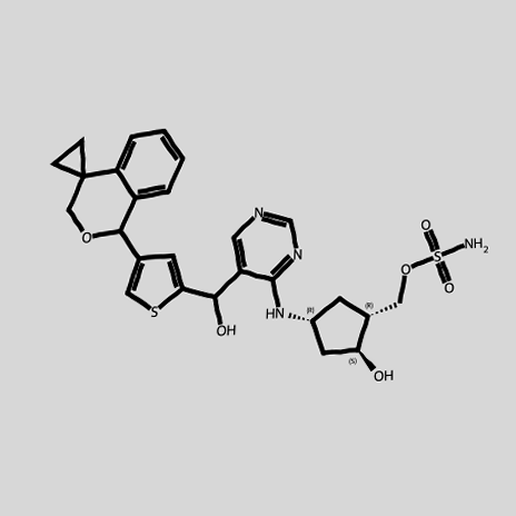 NS(=O)(=O)OC[C@H]1C[C@@H](Nc2ncncc2C(O)c2cc(C3OCC4(CC4)c4ccccc43)cs2)C[C@@H]1O